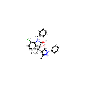 CCOC(=O)[C@@]1(C(F)(F)F)c2c(C)nn(-c3ccccc3)c2O[C@@]12C(=O)N(Cc1ccccc1)c1c(Cl)cccc12